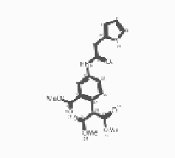 COC(=O)c1cc(NC(=O)Cc2cccs2)ccc1C(C(=O)OC)C(=O)OC